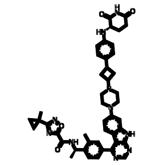 Cc1cc(-c2ncnc3[nH]c4cc(N5CCN(C6CC(c7ccc(N[C@H]8CCC(=O)NC8=O)cc7)C6)CC5)ccc4c23)ccc1[C@@H](C)NC(=O)c1nc(C2(C)CC2)no1